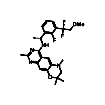 COCC(F)(F)c1cccc([C@@H](C)Nc2nc(C)nc3cc4c(cc23)N(C)CC(C)(C)O4)c1F